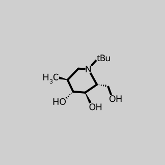 C[C@H]1CN(C(C)(C)C)[C@H](CO)[C@@H](O)[C@@H]1O